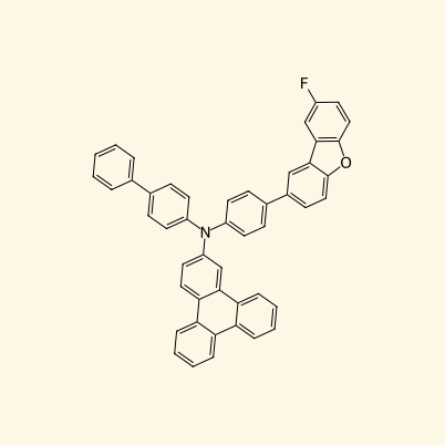 Fc1ccc2oc3ccc(-c4ccc(N(c5ccc(-c6ccccc6)cc5)c5ccc6c7ccccc7c7ccccc7c6c5)cc4)cc3c2c1